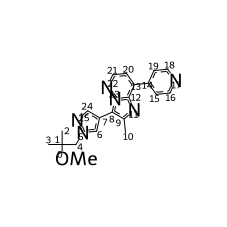 COC(C)(C)Cn1cc(-c2c(C)nc3c(-c4ccncc4)ccnn23)cn1